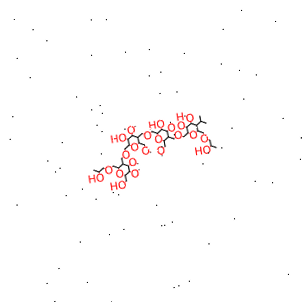 COCC1OC(COCC2C(COCC(C)O)OC(CO)C(OC)C2OC)C(O)C(OC)C1COCC1OC(COC)C(COCC2OC(COCC(C)O)C(C(C)C)C(OC)C2O)C(OC)C1O